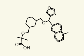 Cc1cccc2cc(C(OCC3CCCC(COC(C)(C)C(=O)O)C3)c3cocn3)ccc12